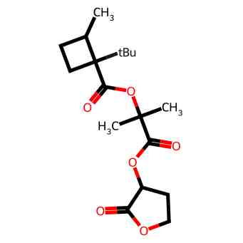 CC1CCC1(C(=O)OC(C)(C)C(=O)OC1CCOC1=O)C(C)(C)C